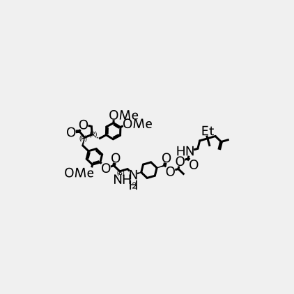 C=C(C)CC(C)(CC)CCNC(=O)OC(C)OC(=O)[C@H]1CC[C@@H](NC[C@H](N)C(=O)Oc2ccc(C[C@H]3C(=O)OC[C@@H]3Cc3ccc(OC)c(OC)c3)cc2OC)CC1